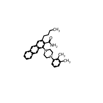 CCCCc1cc2cc3ccccc3cc2c(N2CCN(c3cccc(C)c3C)CC2)c1C(N)=O